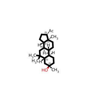 CC(=O)[C@H]1CC[C@H]2[C@@H]3CC(C)(C)[C@H]4C[C@@](C)(O)CC[C@@H]4[C@H]3CC[C@]12C